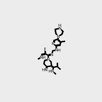 CN/C=C(F)\C(=N/CNc1cc(C)c(N2CCNCC2)cn1)N1CCC(=N)/C(=C(\NC)C(C)C)C1